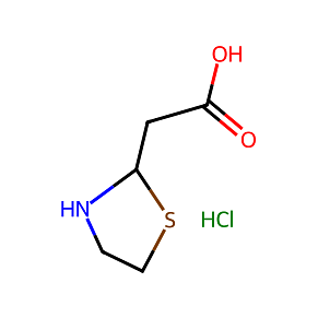 Cl.O=C(O)CC1NCCS1